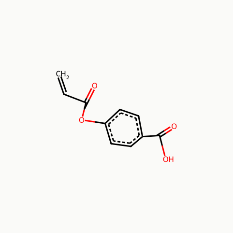 C=CC(=O)Oc1ccc(C(=O)O)cc1